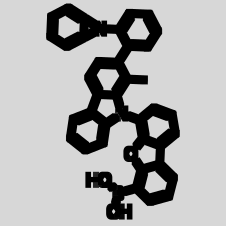 Cc1c(-c2ccccc2N2c3ccccc32)ccc2c3ccccc3n(-c3cccc4c3oc3c(B(O)O)cccc34)c12